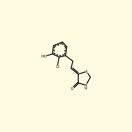 O=C1NCS/C1=C\Cc1cccc(O)c1Cl